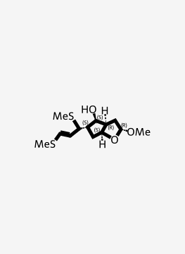 CO[C@H]1C[C@@H]2[C@H](O)[C@@H](C(C=CSC)SC)C[C@@H]2O1